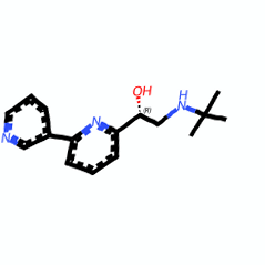 CC(C)(C)NC[C@@H](O)c1cccc(-c2cccnc2)n1